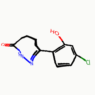 O=C1CCC(c2ccc(Cl)cc2O)=NN1